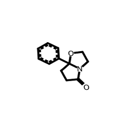 O=C1CCC2(c3ccccc3)OCCN12